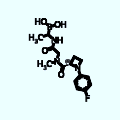 CC(NC(=O)CN(C)C(=O)[C@@H]1CCN1c1ccc(F)cc1)B(O)O